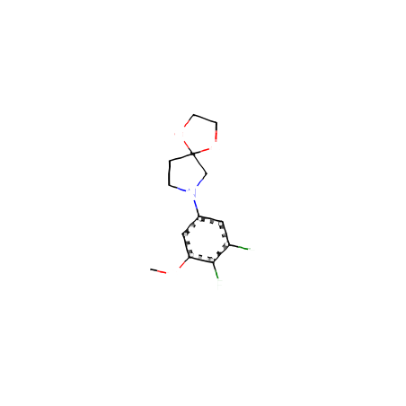 COc1cc(N2CCC3(C2)OCCO3)cc(F)c1F